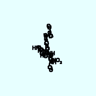 O=C(NS(=O)(=O)c1ccc(NCC2CCOCC2)c([N+](=O)[O-])c1)c1ccc(N2CCC3(CC2)CC(N2CCC[C@H]2c2ccccc2OCC2CCOCC2)C3)cc1N1c2cc3cc[nH]c3nc2O[C@@H]2COC[C@H]21